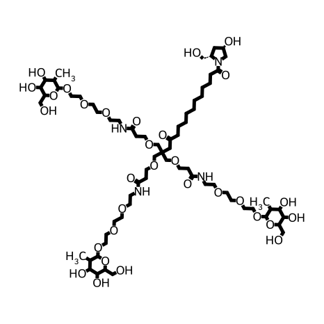 CC1C(OCCOCCOCCNC(=O)CCOCC(COCCC(=O)NCCOCCOCCOC2OC(CO)C(O)C(O)C2C)(COCCC(=O)NCCOCCOCCOC2OC(CO)C(O)C(O)C2C)CC(=O)CCCCCCCCCCC(=O)N2C[C@H](O)C[C@H]2CO)OC(CO)C(O)C1O